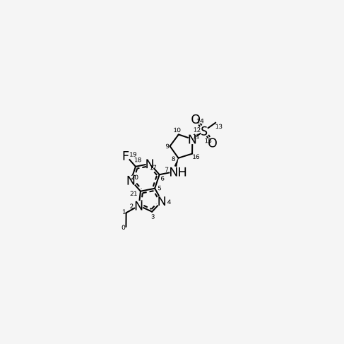 CCn1cnc2c(N[C@H]3CCN(S(C)(=O)=O)C3)nc(F)nc21